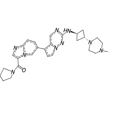 CN1CCN([C@H]2C[C@H](Nc3ncc4c(-c5ccc6ncc(C(=O)N7CCCC7)n6c5)ccn4n3)C2)CC1